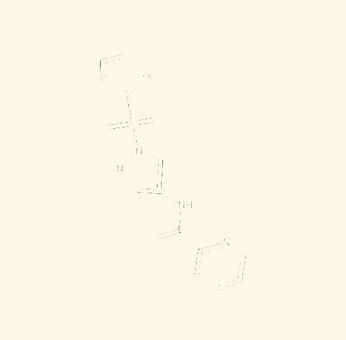 O=C(Nc1cnn(S(=O)(=O)c2ccsc2)c1)c1ccccn1